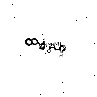 N[C@@H](Cc1cnc[nH]1)C(=O)Nn1ccn(C2CCc3ccccc3C2)c1=S